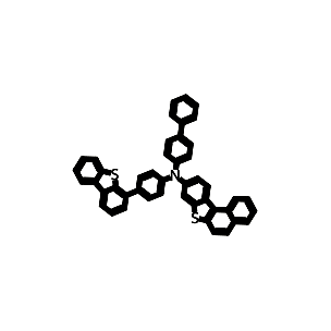 c1ccc(-c2ccc(N(c3ccc(-c4cccc5c4sc4ccccc45)cc3)c3ccc4c(c3)sc3ccc5ccccc5c34)cc2)cc1